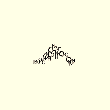 CC(C)(C)OC(=O)N1CCN2c3ccc4ncnc(Nc5ccc(Oc6ccn7ncnc7c6)cc5F)c4c3OC[C@@H]2C1